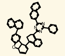 C1=CC2Oc3ccc(-c4cccc5ccccc45)cc3C2C(C2=c3ccccc3=C(c3nc(-c4ccccc4)nc(-c4ccc5ccccc5c4)n3)CC2)=C1